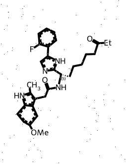 CCC(=O)CCCCC[C@H](NC(=O)Cc1c(C)[nH]c2ccc(OC)cc12)c1ncc(-c2ccccc2F)[nH]1